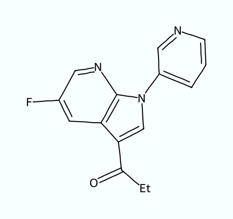 CCC(=O)c1cn(-c2cccnc2)c2ncc(F)cc12